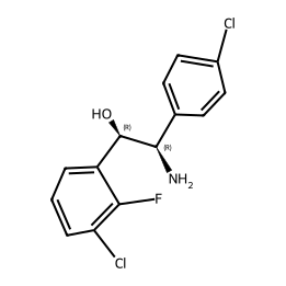 N[C@H](c1ccc(Cl)cc1)[C@H](O)c1cccc(Cl)c1F